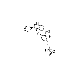 O=C(c1ccc2ncc(N3CCOCC3)nc2c1)c1c(Cl)ccc(CCCN[SH](=O)=O)c1F